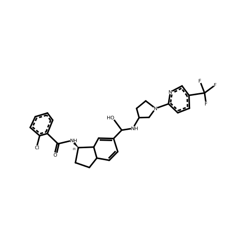 O=C(N[C@@H]1CCC2C=CC(C(O)NC3CCN(c4ccc(C(F)(F)F)cn4)C3)=CC21)c1ccccc1Cl